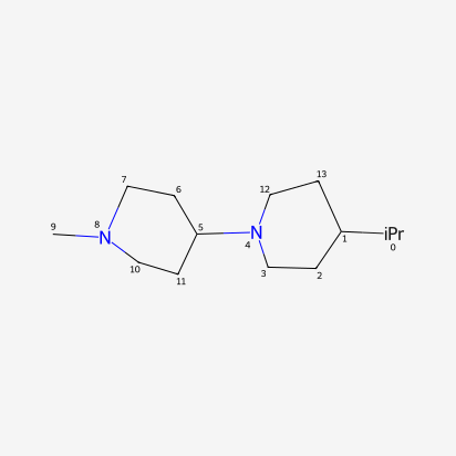 CC(C)C1CCN(C2CCN(C)CC2)CC1